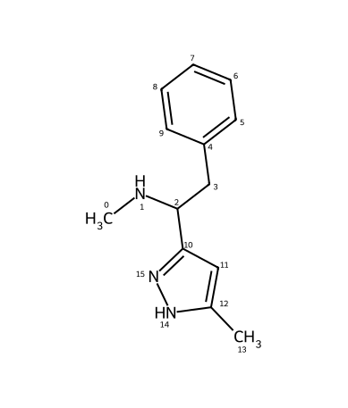 CNC(Cc1ccccc1)c1cc(C)[nH]n1